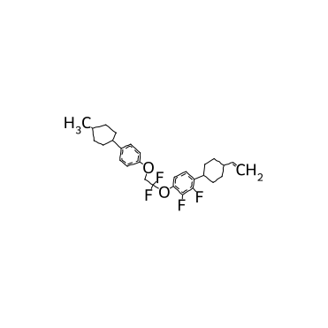 C=CC1CCC(c2ccc(OC(F)(F)COc3ccc(C4CCC(C)CC4)cc3)c(F)c2F)CC1